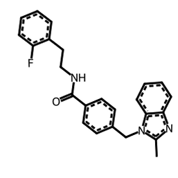 Cc1nc2ccccc2n1Cc1ccc(C(=O)NCCc2ccccc2F)cc1